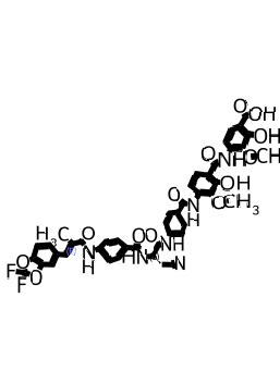 COc1c(NC(=O)c2ccc(NC(=O)c3ccc(NC(=O)[C@H](CC#N)NC(=O)c4ccc(NC(=O)/C(C)=C/c5ccc6c(c5)OC(F)(F)O6)cc4)cc3)c(OC)c2O)ccc(C(=O)O)c1O